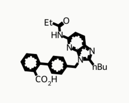 CCCCc1nc2ccc(NC(=O)CC)nc2n1Cc1ccc(-c2ccccc2C(=O)O)cc1